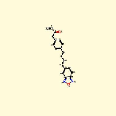 COC(=O)Cc1ccc(CCCCc2ccc3nonc3c2)cc1